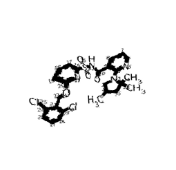 CC1CN(c2ncccc2C(=O)NS(=O)(=O)c2cccc(OCc3c(Cl)cccc3Cl)n2)C(C)(C)C1